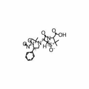 CC1(C)C(C(=O)O)N2C(=O)[C@@H](N3C[C@@H](c4ccccc4)[N+]([O-])(N=O)C3(C)C)[C@H]2[S@+]1[O-]